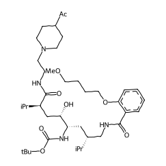 COCCCCOc1ccccc1C(=O)NC[C@@H](C[C@H](NC(=O)OC(C)(C)C)[C@@H](O)C[C@H](C(=O)NCCN1CCC(C(C)=O)CC1)C(C)C)C(C)C